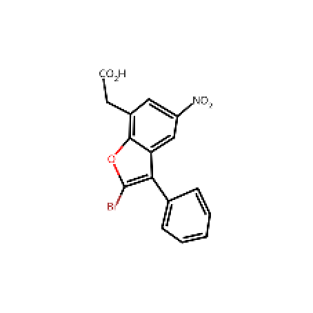 O=C(O)Cc1cc([N+](=O)[O-])cc2c(-c3ccccc3)c(Br)oc12